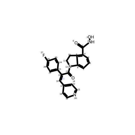 O=C(NO)c1cccc2c1CCN2C(=O)/C(=C\c1ccncc1)c1ccc(F)cc1